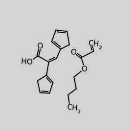 C=CC(=O)OCCCC.O=C(O)C(=CC1=CC=CC1)C1=CC=CC1